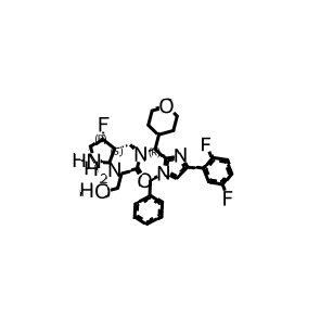 NC(CO)C(=O)N(C[C@@H]1CNC[C@@H]1F)[C@@H](c1nc(-c2cc(F)ccc2F)cn1Cc1ccccc1)C1CCOCC1